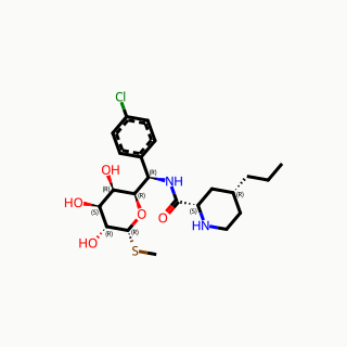 CCC[C@@H]1CCN[C@H](C(=O)N[C@H](c2ccc(Cl)cc2)[C@H]2O[C@H](SC)[C@H](O)[C@@H](O)[C@H]2O)C1